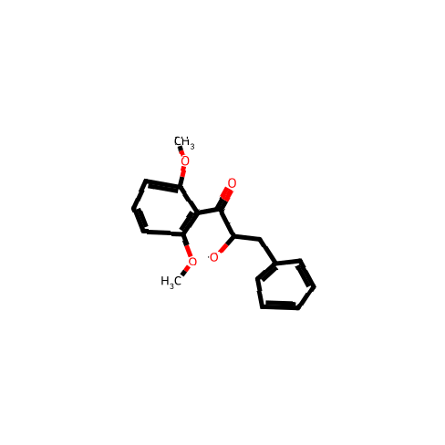 COc1cccc(OC)c1C(=O)C([O])Cc1ccccc1